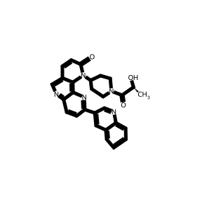 C[C@@H](O)C(=O)N1CCC(n2c(=O)ccc3cnc4ccc(-c5cnc6ccccc6c5)nc4c32)CC1